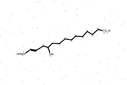 CCCCCCCC=CCC(O)CCCCCCCCCC(=O)O